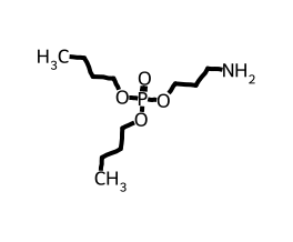 CCCCOP(=O)(OCCCC)OCCCN